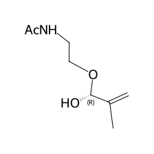 C=C(C)[C@H](O)OCCNC(C)=O